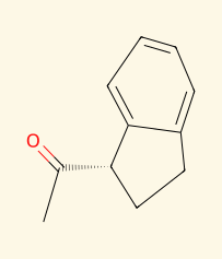 CC(=O)[C@H]1CCc2ccccc21